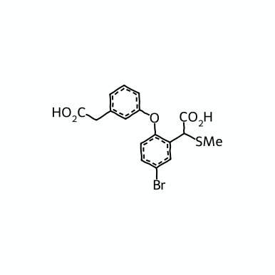 CSC(C(=O)O)c1cc(Br)ccc1Oc1cccc(CC(=O)O)c1